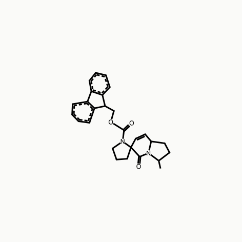 CC1CCC2C=CC3(CCCN3C(=O)OCC3c4ccccc4-c4ccccc43)C(=O)N12